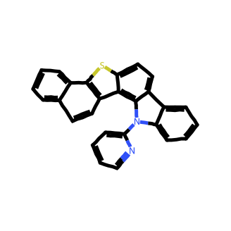 c1ccc(-n2c3ccccc3c3ccc4sc5c6ccccc6ccc5c4c32)nc1